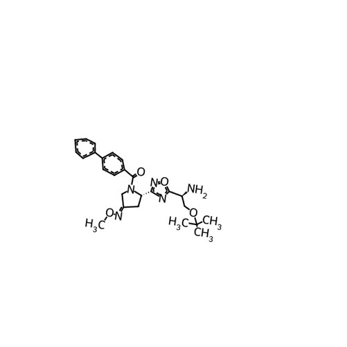 CON=C1C[C@@H](c2noc([C@@H](N)COC(C)(C)C)n2)N(C(=O)c2ccc(-c3ccccc3)cc2)C1